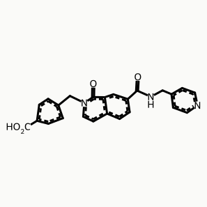 O=C(O)c1ccc(Cn2ccc3ccc(C(=O)NCc4ccncc4)cc3c2=O)cc1